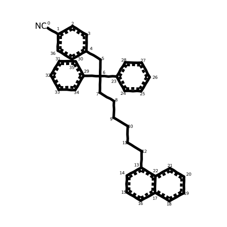 N#Cc1ccc(CC(CCCCCCc2cccc3ccccc23)(c2ccccc2)c2ccccc2)cc1